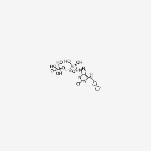 C[C@@](CO)(OC[C@H]1O[C@@H](n2ncc3c(NC4CC5(CCC5)C4)nc(Cl)nc32)[C@H](O)[C@@H]1O)P(=O)(O)O